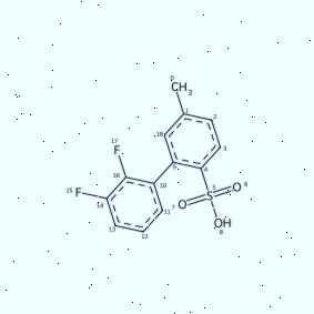 Cc1ccc(S(=O)(=O)O)c(-c2cccc(F)c2F)c1